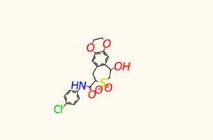 O=C(Nc1ccc(Cl)cc1)C1Cc2cc3c(cc2C(O)CS1(=O)=O)OCCO3